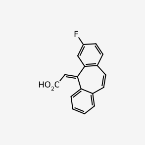 O=C(O)/C=C1\c2ccccc2C=Cc2ccc(F)cc21